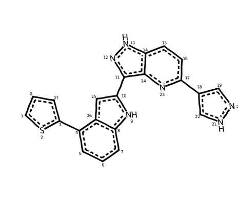 c1csc(-c2cccc3[nH]c(-c4n[nH]c5ccc(-c6cn[nH]c6)nc45)cc23)c1